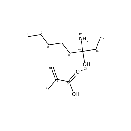 C=C(C)C(=O)O.CCCCCC(N)(O)CC